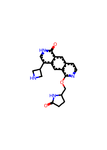 O=C1CCC(COc2nccc3cc4c(=O)[nH]cc(C5CNC5)c4cc23)N1